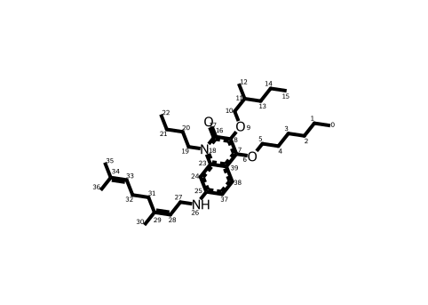 CCCCCCOc1c(OCC(C)CCC)c(=O)n(CCCC)c2cc(NCC=C(C)CCC=C(C)C)ccc12